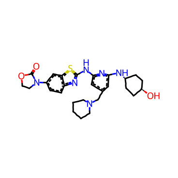 O=C1OCCN1c1ccc2nc(Nc3cc(CN4CCCCC4)cc(N[C@H]4CC[C@H](O)CC4)n3)sc2c1